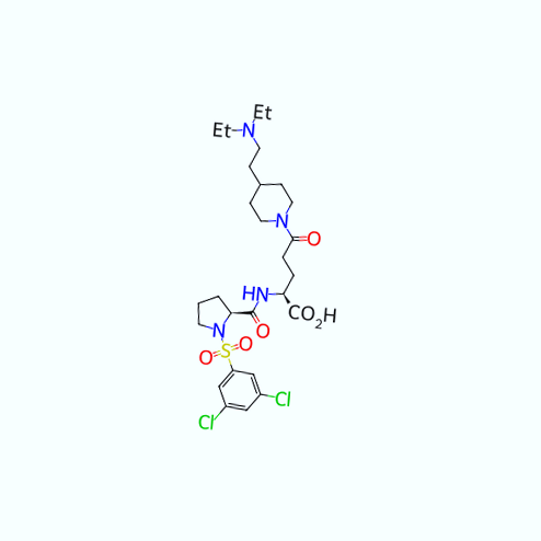 CCN(CC)CCC1CCN(C(=O)CC[C@H](NC(=O)[C@@H]2CCCN2S(=O)(=O)c2cc(Cl)cc(Cl)c2)C(=O)O)CC1